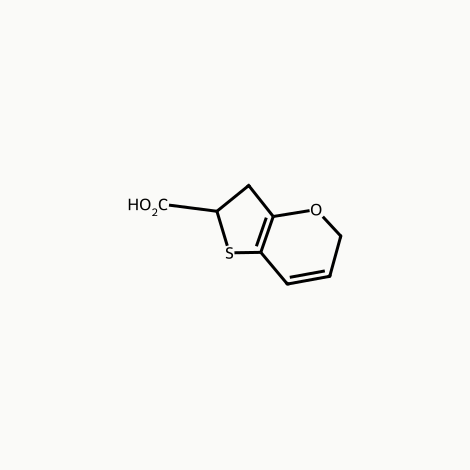 O=C(O)C1CC2=C(C=CCO2)S1